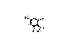 CCCCc1cc(Br)c2[nH]cnc2c1